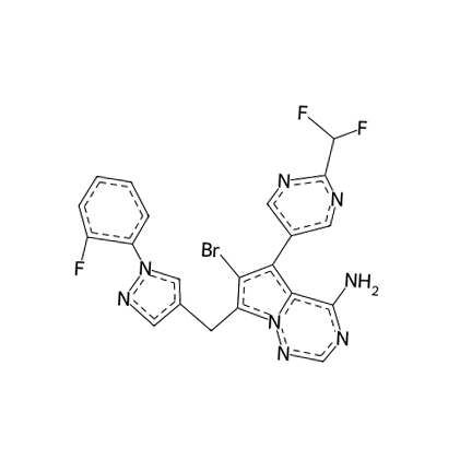 Nc1ncnn2c(Cc3cnn(-c4ccccc4F)c3)c(Br)c(-c3cnc(C(F)F)nc3)c12